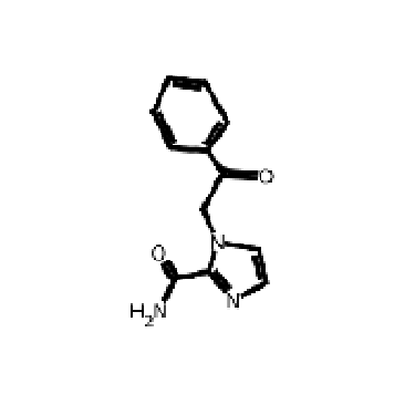 NC(=O)c1nccn1CC(=O)c1ccccc1